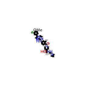 COc1ccc(-c2cnc3c(Nc4ccc(C(=O)N5CCC(C(C)(O)NCCN6CCC6)CC5)c(C)c4)nccn23)cc1F